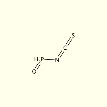 O=[PH2]N=C=S